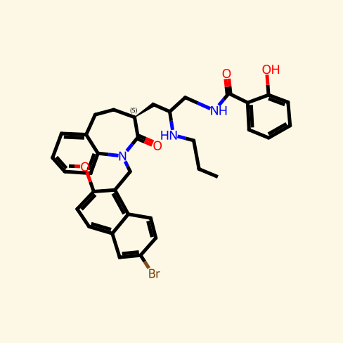 CCCNC(CNC(=O)c1ccccc1O)C[C@@H]1CCc2ccccc2N(Cc2c(OC)ccc3cc(Br)ccc23)C1=O